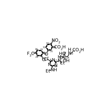 CCNc1nc(Cl)nc(NCC)n1.O=C(O)CNCP(=O)(O)O.O=C(O)c1cc(Oc2ccc(C(F)(F)F)cc2Cl)ccc1[N+](=O)[O-]